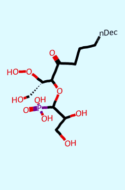 CCCCCCCCCCCCCC(=O)C(OC(C(O)CO)P(=O)(O)O)[C@H](CO)OO